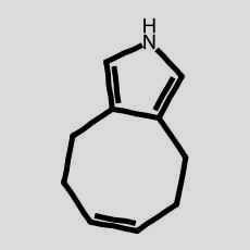 C1=CCCc2c[nH]cc2CC1